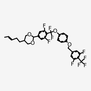 C/C=C/CCC1COC(c2cc(F)c(C(F)(F)Oc3ccc(OCc4cc(F)c(C(F)(F)F)c(F)c4)cc3)c(F)c2)OC1